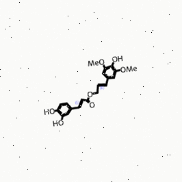 COc1cc(/C=C/COC(=O)/C=C/c2ccc(O)c(O)c2)cc(OC)c1O